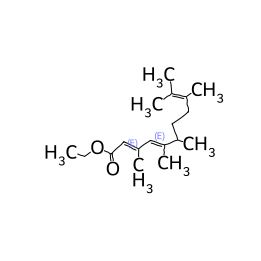 CCOC(=O)/C=C(C)/C=C(\C)C(C)CCC(C)=C(C)C